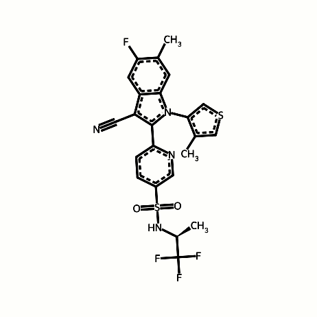 Cc1cc2c(cc1F)c(C#N)c(-c1ccc(S(=O)(=O)N[C@@H](C)C(F)(F)F)cn1)n2-c1cscc1C